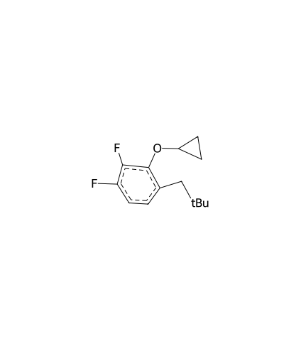 CC(C)(C)Cc1ccc(F)c(F)c1OC1CC1